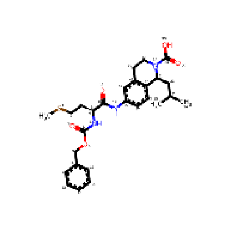 CSCC[C@H](NC(=O)OCc1ccccc1)C(=O)Nc1ccc2c(c1)CCN(C(=O)O)C2CC(C)C